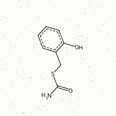 NC(=O)SCc1ccccc1O